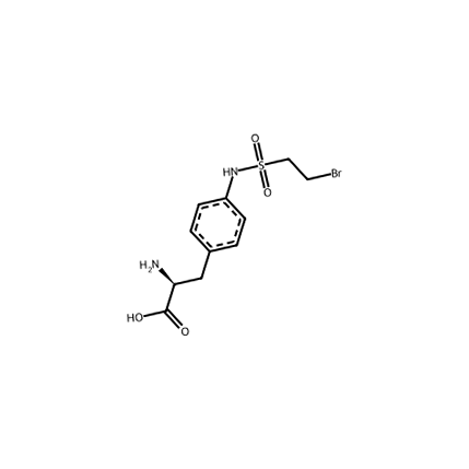 N[C@@H](Cc1ccc(NS(=O)(=O)CCBr)cc1)C(=O)O